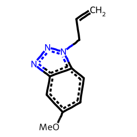 C=CCn1nnc2cc(OC)ccc21